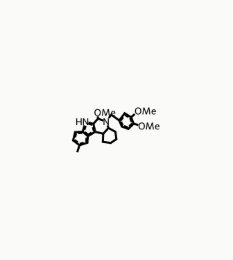 COc1ccc(CN2C(OC)c3[nH]c4ccc(C)cc4c3C3CCCCC32)cc1OC